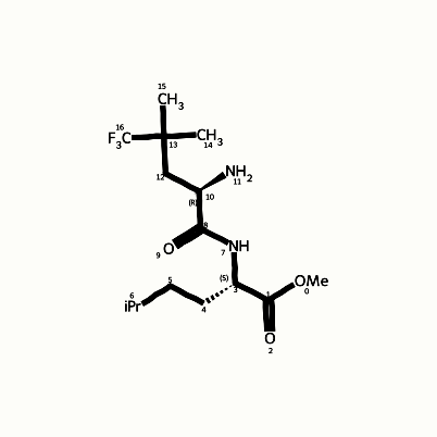 COC(=O)[C@H](CCC(C)C)NC(=O)[C@H](N)CC(C)(C)C(F)(F)F